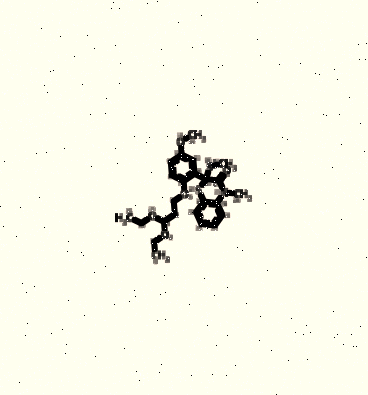 CCOC(CCOc1ccc(OC)cc1C1(SC)Sc2ccccc2N(C)C1=O)OCC